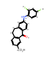 O=C(O)c1ccc2c(c1)C(=O)c1ccc(Nc3ccc(F)cc3F)cc1CC2